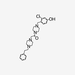 O=C(CN1CCN(CCc2ccccc2)CC1)N1CCN(Cc2ccc(O)cc2Cl)CC1